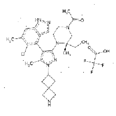 CC[C@@]1(C)CN(C(C)=O)CCN1c1nn(C2CC3(CNC3)C2)c(C)c1-c1c(Cl)c(C)cc2[nH]ncc12.O=C(O)C(F)(F)F